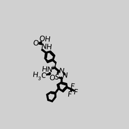 CC(=O)N[C@@H](Cc1ccc(CNC(=O)O)cc1)c1nnc(-c2cc(C3=CCCCC3)cc(C(F)(F)F)c2)s1